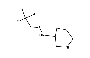 FC(F)(F)CSNC1CCCNC1